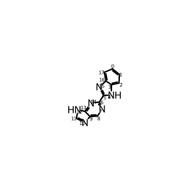 c1ccc2[nH]c(-c3ncc4nc[nH]c4n3)nc2c1